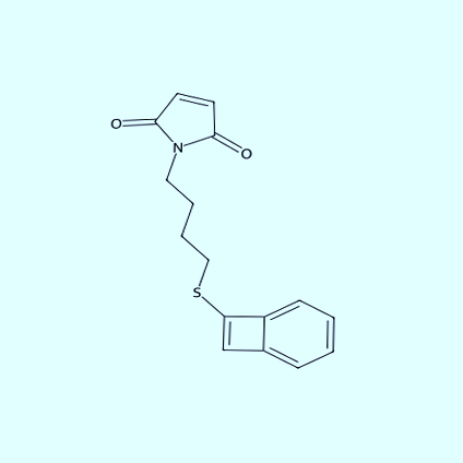 O=C1C=CC(=O)N1CCCCSC1=Cc2ccccc21